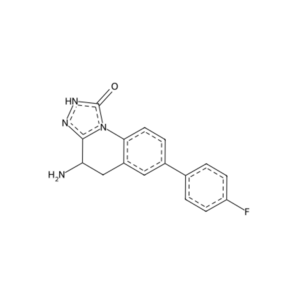 NC1Cc2cc(-c3ccc(F)cc3)ccc2-n2c1n[nH]c2=O